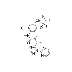 C[C@@H](c1ncnn1-c1ncccn1)N(C)C(=O)N(C)c1cc(OC(F)(F)C(F)F)c(Cl)cc1Cl